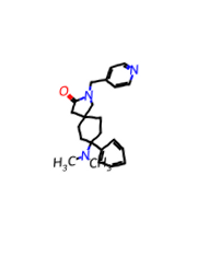 CN(C)C1(c2ccccc2)CCC2(CC1)CC(=O)N(Cc1ccncc1)C2